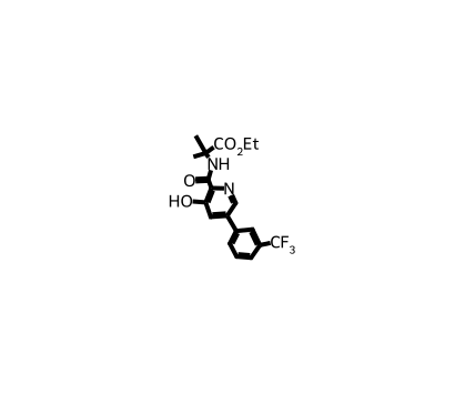 CCOC(=O)C(C)(C)NC(=O)c1ncc(-c2cccc(C(F)(F)F)c2)cc1O